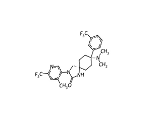 Cc1cc(C(F)(F)F)ncc1N1C[C@]2(CC[C@@](c3cccc(C(F)(F)F)c3)(N(C)C)CC2)NC1=O